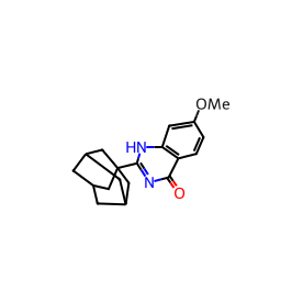 COc1ccc2c(=O)nc(C34CC5CC(CC(C5)C3)C4)[nH]c2c1